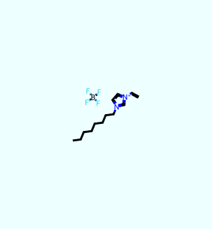 C=C[n+]1ccn(CCCCCCCC)c1.F[B-](F)(F)F